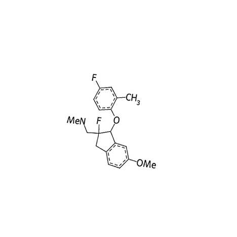 CNCC1(F)Cc2ccc(OC)cc2C1Oc1ccc(F)cc1C